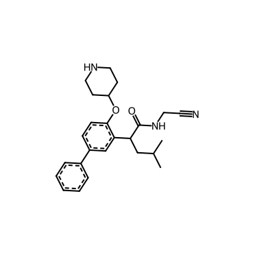 CC(C)CC(C(=O)NCC#N)c1cc(-c2ccccc2)ccc1OC1CCNCC1